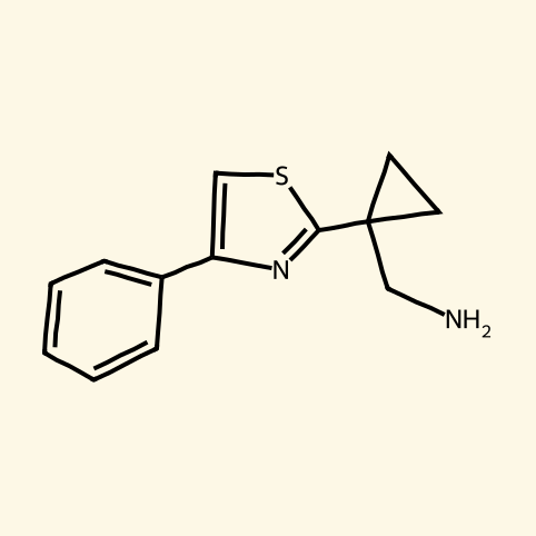 NCC1(c2nc(-c3ccccc3)cs2)CC1